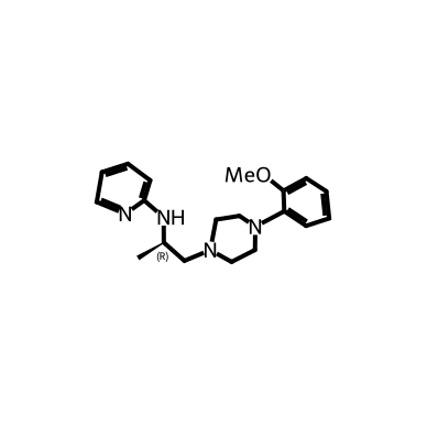 COc1ccccc1N1CCN(C[C@@H](C)Nc2ccccn2)CC1